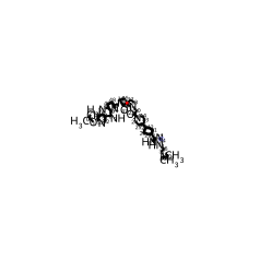 CC(C)Oc1ccc(C(=N)c2nc(N3CC[C@]4(CCN(CC(=O)N5CC=C(c6ccc(C(=N)/N=C\NCCN(C)C)cc6)CC5)C4)C3=O)ccc2N)cn1